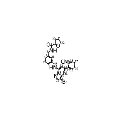 O=C(NCc1cccc(CNc2cc(-c3ccccc3Cl)nc3c(Br)cnn23)c1)C1CCCO1